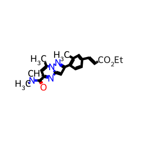 CCOC(=O)/C=C/c1ccc(-c2cc3nc(C(=O)N(C)C)cc(C)n3n2)c(C)c1